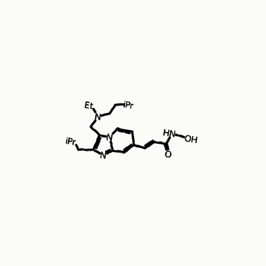 CCN(CCC(C)C)Cc1c(CC(C)C)nc2cc(/C=C/C(=O)NO)ccn12